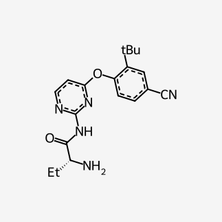 CC[C@@H](N)C(=O)Nc1nccc(Oc2ccc(C#N)cc2C(C)(C)C)n1